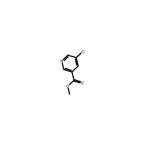 COC(=O)c1cn[c]c(Cl)c1